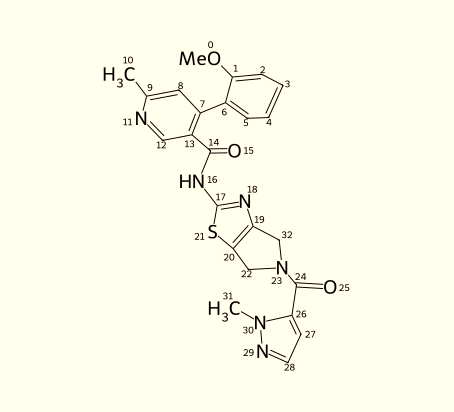 COc1ccccc1-c1cc(C)ncc1C(=O)Nc1nc2c(s1)CN(C(=O)c1ccnn1C)C2